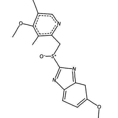 COC1=CC=C2N=C([S+]([O-])Cc3ncc(C)c(OC)c3C)N=C2C1